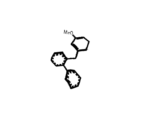 COC1=CC[CH]C(Cc2ccccc2-c2ccccc2)=C1